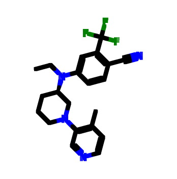 CCN(c1ccc(C#N)c(C(F)(F)F)c1)[C@@H]1CCCN(c2cnccc2C)C1